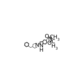 CC(=O)N(C)C(=O)c1ccc2[nH]c(N3CCC(Cc4ccccc4)CC3)cc2c1